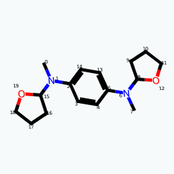 CN(c1ccc(N(C)C2CCCO2)cc1)C1CCCO1